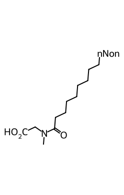 CCCCCCCCCCCCCCCCCC(=O)N(C)CC(=O)O